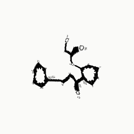 O=C(CCl)Oc1ccccc1C(=O)C=Cc1ccccc1